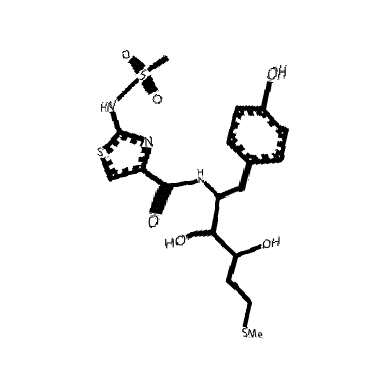 CSCCC(O)C(O)C(Cc1ccc(O)cc1)NC(=O)c1csc(NS(C)(=O)=O)n1